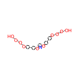 OCCOCCOCCOc1ccc(-c2ccc(Oc3cccc(Oc4ccc(-c5ccc(OCCOCCOCCO)cc5)cc4)n3)cc2)cc1